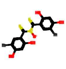 CCc1cc(C(=S)[S+]([O-])C(=S)c2cc(CC)c(O)cc2O)c(O)cc1O